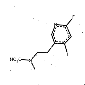 CN(CCc1cnc(F)cc1I)C(=O)O